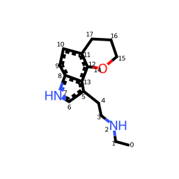 CCNCCc1c[nH]c2ccc3c(c12)OCCC3